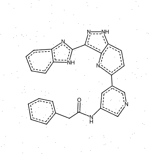 O=C(Cc1ccccc1)Nc1cncc(-c2ccc3[nH]nc(-c4nc5ccccc5[nH]4)c3n2)c1